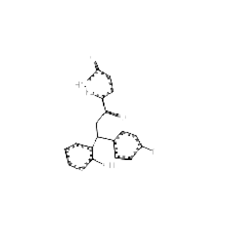 Cc1ccccc1C(CC(=O)c1ccc(=O)[nH]n1)c1ccc(Br)cc1